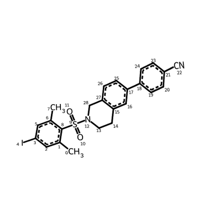 Cc1cc(I)cc(C)c1S(=O)(=O)N1CCc2cc(-c3ccc(C#N)cc3)ccc2C1